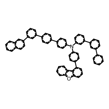 c1ccc(-c2cccc(-c3cccc(N(c4ccc(-c5ccc(-c6cccc(-c7ccc8ccccc8c7)c6)cc5)cc4)c4ccc(-c5cccc6oc7ccccc7c56)cc4)c3)c2)cc1